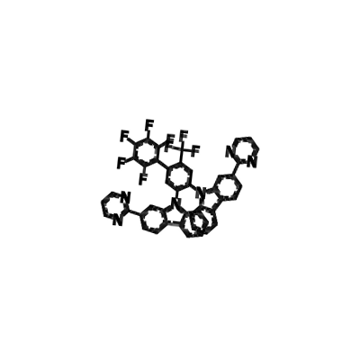 Fc1c(F)c(F)c(-c2cc(-n3c4ccccc4c4ccc(-c5ncccn5)cc43)c(-n3c4ccccc4c4ccc(-c5ncccn5)cc43)cc2C(F)(F)F)c(F)c1F